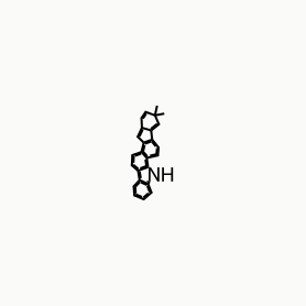 CC1(C)C=CC2=Cc3c(ccc4c3ccc3c5ccccc5[nH]c43)C2=C1